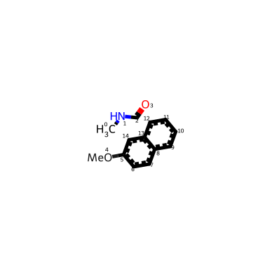 CNC=O.COc1ccc2ccccc2c1